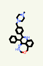 CN1CCN(Cc2ccc(C3Nc4cccc5c4/C(=N\NCOC5)C3c3ccccc3)cc2)CC1